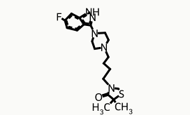 CC1(C)SCN(CCCCN2CCN(c3n[nH]c4cc(F)ccc34)CC2)C1=O